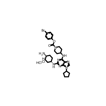 Cl.Cl.N[C@H]1CC[C@H](Nc2nc(NC3CCN(C(=O)Oc4ccc(Br)cc4)CC3)c3ncn(C4CCCC4)c3n2)CC1